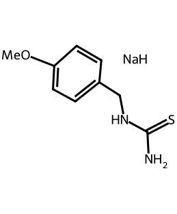 COc1ccc(CNC(N)=S)cc1.[NaH]